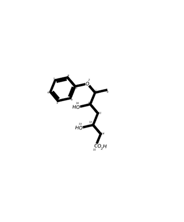 CC(Oc1ccccc1)C(O)CC(O)CC(=O)O